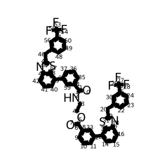 O=C(NCCOC(=O)c1cccc(-c2cccc3nc(Cc4cccc(C(F)(F)F)c4)sc23)c1)c1cccc(-c2cccc3nc(Cc4cccc(C(F)(F)F)c4)sc23)c1